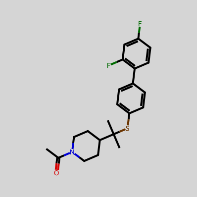 CC(=O)N1CCC(C(C)(C)Sc2ccc(-c3ccc(F)cc3F)cc2)CC1